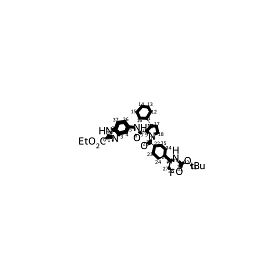 CCOC(=O)c1nc2cc(NC(=O)[C@@H]3[C@H](C4CCCCC4)CCN3C(=O)[C@H]3CC[C@H]([C@H](CF)NC(=O)OC(C)(C)C)CC3)ccc2[nH]1